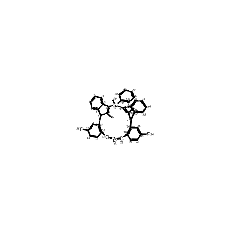 CC1=C2c3ccccc3C1c1cc(F)ccc1[O][Zr][O]c1ccc(F)cc1C1C(C)=C(c3ccccc31)[Si]2(C)c1ccccc1